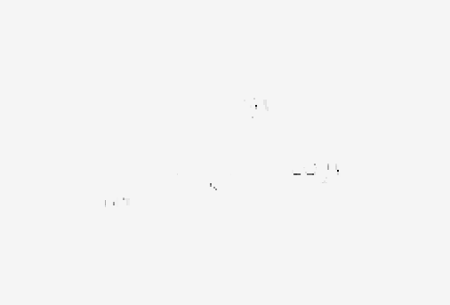 CCCCSC(S)C(=O)O